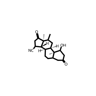 CC1C[C@@H]2[C@@H](CCC3CC(=O)CC(O)[C@@]32C)[C@@H]2C(C#N)CC(=O)[C@@]12C